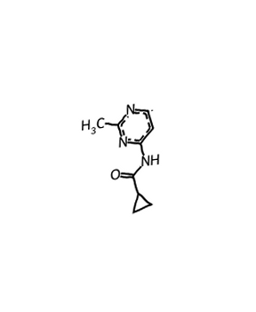 Cc1n[c]cc(NC(=O)C2CC2)n1